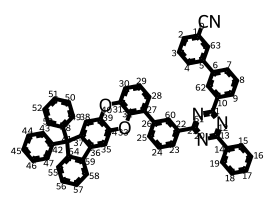 N#Cc1cccc(-c2cccc(-c3nc(-c4ccccc4)nc(-c4cccc(-c5cccc6c5Oc5cc7c(cc5O6)C(c5ccccc5)(c5ccccc5)c5ccccc5-7)c4)n3)c2)c1